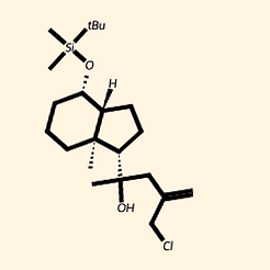 C=C(CCl)CC(C)(O)[C@H]1CC[C@H]2[C@@H](O[Si](C)(C)C(C)(C)C)CCC[C@]12C